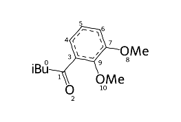 CCC(C)C(=O)c1cccc(OC)c1OC